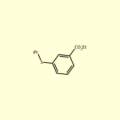 CCOC(=O)c1cccc(SC(C)C)c1